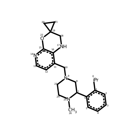 CC(C)c1ccccc1C1CN(Cc2ccnc3c2NCC2(CC2)O3)CCN1C